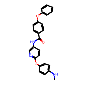 CNc1ccc(Oc2ccc(NC(=O)c3ccc(Oc4ccccc4)cc3)cn2)cc1